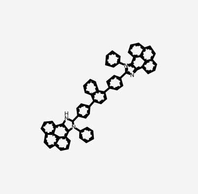 c1ccc(N2c3c(c4cccc5ccc6cccc3c6c54)NC2c2ccc(-c3ccc(-c4ccc(-c5nc6c7cccc8ccc9cccc(c9c87)c6n5-c5ccccc5)cc4)c4ccccc34)cc2)cc1